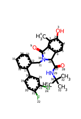 Cc1c(O)ccc2c1C(=O)N(Cc1ccccc1-c1ccc(F)c(Cl)c1)C2C(=O)NC(C)(C)C